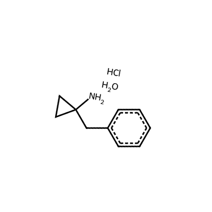 Cl.NC1(Cc2ccccc2)CC1.O